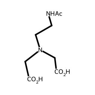 CC(=O)NCCN(CC(=O)O)CC(=O)O